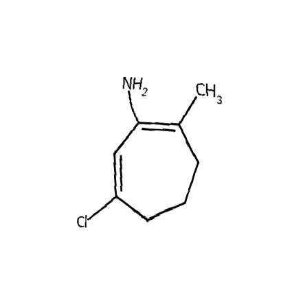 CC1=C(N)C=C(Cl)CCC1